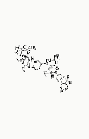 CC(C)(C)OC(=O)N[C@@H](Cc1ccc(-c2cc(O[C@@H](c3ccc(-c4cnccc4C(F)(F)F)cc3)C(F)(F)F)nc(N)n2)cc1)C(=O)O